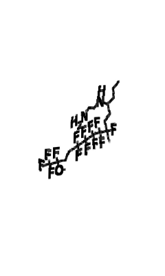 CCCC(CCC(C)(F)C(F)(F)C(F)(F)C(F)(F)C(F)(F)CCC([O])(F)C(F)(F)F)NCCN